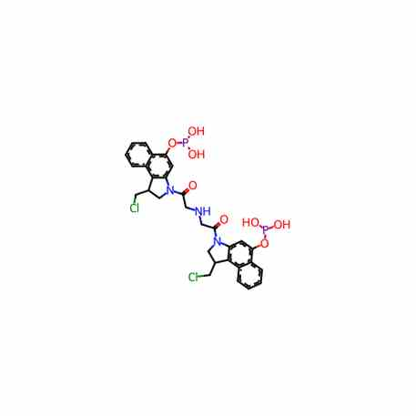 O=C(CNCC(=O)N1CC(CCl)c2c1cc(OP(O)O)c1ccccc21)N1CC(CCl)c2c1cc(OP(O)O)c1ccccc21